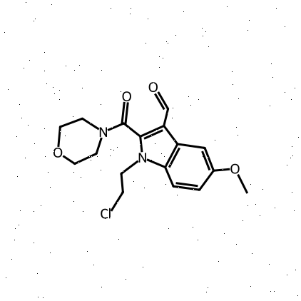 COc1ccc2c(c1)c(C=O)c(C(=O)N1CCOCC1)n2CCCl